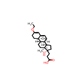 CCOC1=CC2=CC[C@@H]3[C@H](CC[C@@]4(C)[C@H]3CC[C@@]4(O)CCC(=O)O)[C@@]2(C)CC1